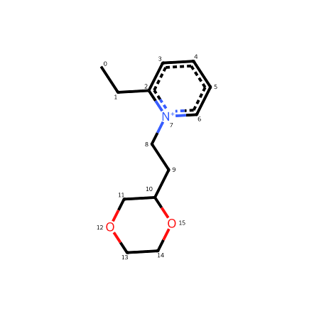 CCc1cccc[n+]1CCC1COCCO1